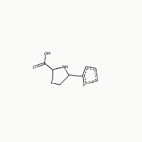 O=C(O)C1CCC(c2cccs2)N1